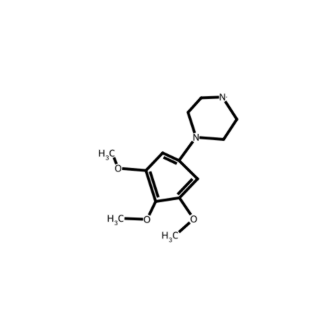 COc1cc(N2CC[N]CC2)cc(OC)c1OC